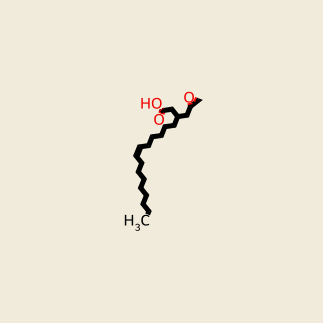 CCCCCCCC/C=C\CCCCCC(CC(=O)O)CC1CO1